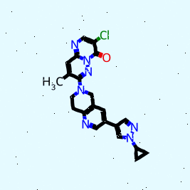 Cc1cc2ncc(Cl)c(=O)n2nc1N1CCc2ncc(-c3cnn(C4CC4)c3)cc2C1